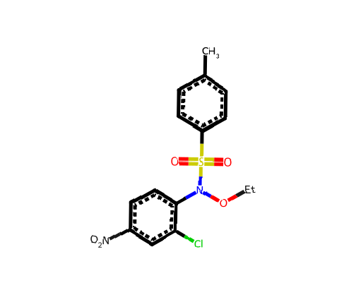 CCON(c1ccc([N+](=O)[O-])cc1Cl)S(=O)(=O)c1ccc(C)cc1